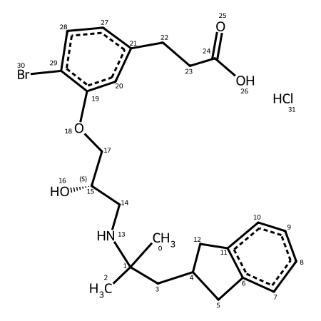 CC(C)(CC1Cc2ccccc2C1)NC[C@H](O)COc1cc(CCC(=O)O)ccc1Br.Cl